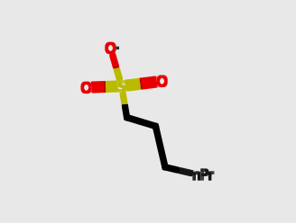 CCCCCCS([O])(=O)=O